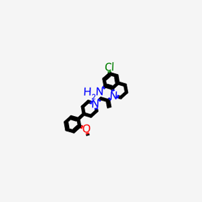 C=C(CN1CCC(c2ccccc2OC)CC1)N1CCCc2cc(Cl)cc(N)c21